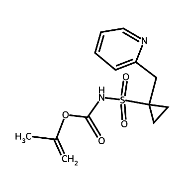 C=C(C)OC(=O)NS(=O)(=O)C1(Cc2ccccn2)CC1